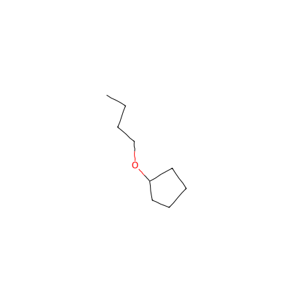 CCCCOC1CCCC1